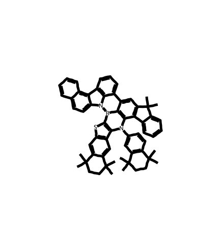 CC1(C)CCC(C)(C)c2cc(N3c4c5c(cc6c4-c4ccccc4C6(C)C)-c4cccc6c7c8ccccc8ccc7n(c46)B5c4sc5cc6c(cc5c43)C(C)(C)CCC6(C)C)ccc21